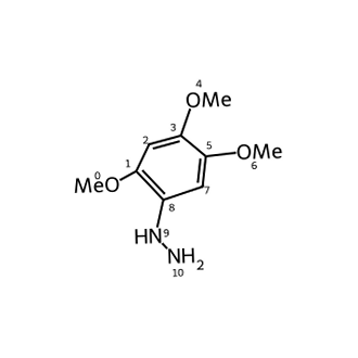 COc1cc(OC)c(OC)cc1NN